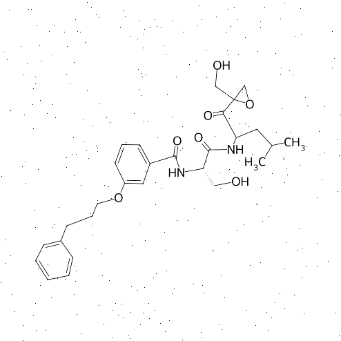 CC(C)CC(NC(=O)[C@H](CO)NC(=O)c1cccc(OCCCc2ccccc2)c1)C(=O)C1(CO)CO1